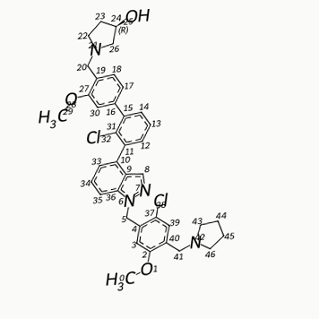 COc1cc(Cn2ncc3c(-c4cccc(-c5ccc(CN6CC[C@@H](O)C6)c(OC)c5)c4Cl)cccc32)c(Cl)cc1CN1CCCC1